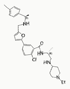 CCN1CCC(NC[C@@H](C)NC(=O)c2cc(-c3ccc(CN[C@H](C)c4ccc(C)cc4)o3)ccc2Cl)CC1